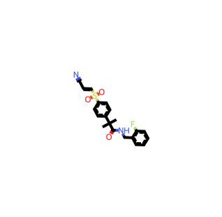 CC(C)(C(=O)NCc1ccccc1F)c1ccc(S(=O)(=O)C=CC#N)cc1